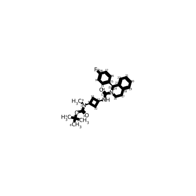 CN(C(=O)OC(C)(C)C)[C@H]1C[C@@H](NC(=O)N2CCc3ccccc3[C@@H]2c2ccc(F)cc2)C1